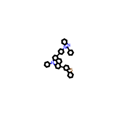 c1ccc(-c2nc3ccccc3n2-c2ccc(-c3ccc4c5c3ccc3c(-c6ccc7sc8ccccc8c7c6)ccc(c35)n4-c3ccccc3)cc2)cc1